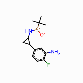 [CH2]C(C)(C)[S+]([O-])NC1CC1c1ccc(F)c(N)c1